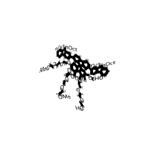 CCCCCCCCC1(CCCCCCCC)c2ccccc2-c2ccc(-c3ccc4c(c3)C(c3cc(COC=O)c(C)c(COCCOCCOCCO)c3)(c3cc(OCCOCCOCCOC)c(OCCOCCOCCOC)c(C(=O)OC)c3)c3cc(-c5ccc6c(c5)C(CCCCCCCC)(CCCCCCCC)c5ccccc5-6)ccc3-4)cc21